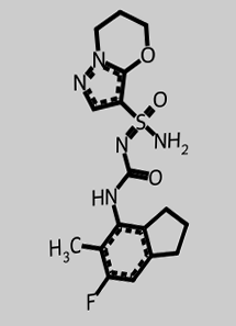 Cc1c(F)cc2c(c1NC(=O)N=S(N)(=O)c1cnn3c1OCCC3)CCC2